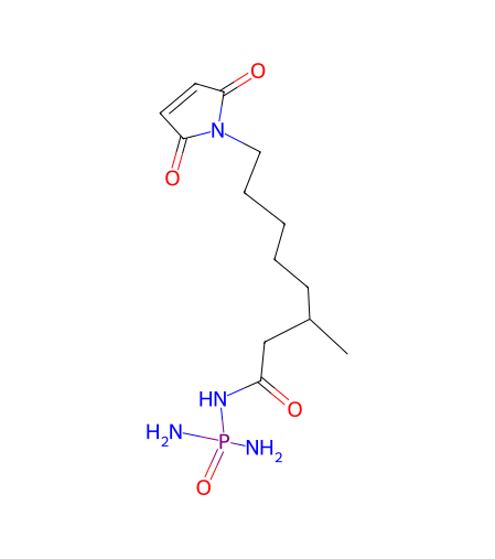 CC(CCCCCN1C(=O)C=CC1=O)CC(=O)NP(N)(N)=O